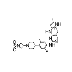 Cc1cc(Nc2nc(Nc3cc(C)c(C4CCN(C5CN(S(C)(=O)=O)C5)CC4)cc3F)ncc2I)n[nH]1